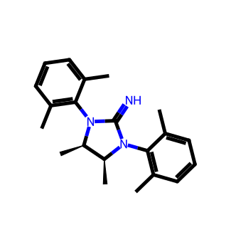 Cc1cccc(C)c1N1C(=N)N(c2c(C)cccc2C)[C@@H](C)[C@H]1C